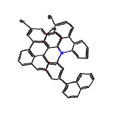 CC(C)(C)c1ccc(-c2ccccc2N(c2cccc(-c3cccc4ccccc34)c2)c2ccccc2-c2cccc3cccc(-c4cc(C(C)(C)C)cc(C(C)(C)C)c4)c23)cc1